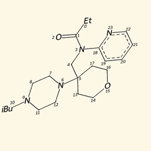 CCC(=O)N(CC1(N2CCN(C(C)CC)CC2)CCOCC1)c1ccccn1